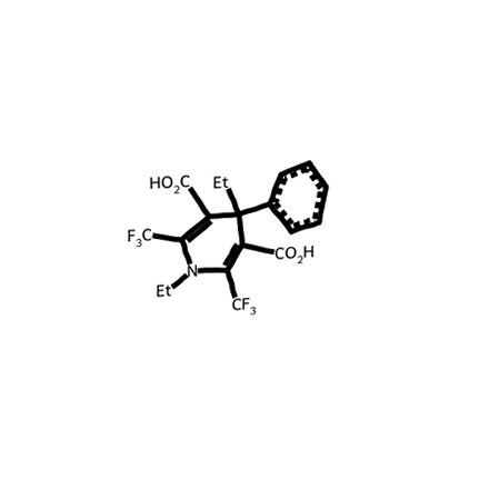 CCN1C(C(F)(F)F)=C(C(=O)O)C(CC)(c2ccccc2)C(C(=O)O)=C1C(F)(F)F